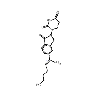 C/C(=C\CCCO)c1ccc2c(c1)CN(C1CCC(=O)NC1=O)C2=O